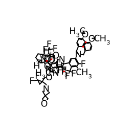 COc1ccc(CN(Cc2ccc(OC)cc2)c2cc(-c3nc4c5c(nc(OCC6(CN7CC8(COC8)C7)CC6(F)F)nc5c3F)N3C[C@H]5CC[C@@H]([C@H]3[C@H](C(F)(F)F)O4)N5C(=O)OC(C)(C)C)c(C(F)(F)F)c(C)c2F)cc1